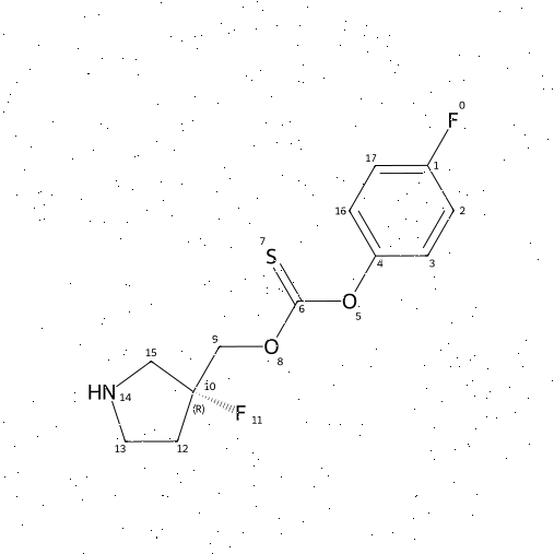 Fc1ccc(OC(=S)OC[C@@]2(F)CCNC2)cc1